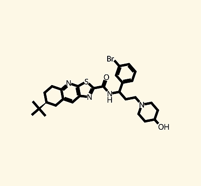 CC(C)(C)[C@H]1CCc2nc3sc(C(=O)NC(CCN4CCC(O)CC4)c4cccc(Br)c4)nc3cc2C1